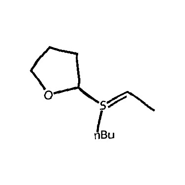 CC=S(CCCC)C1CCCO1